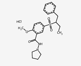 CCC(Cc1ccccc1)S(=O)(=O)c1ccc(OC)c(C(=O)NN2CCCC2)c1.Cl